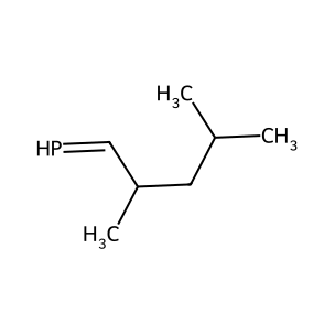 CC(C)CC(C)C=P